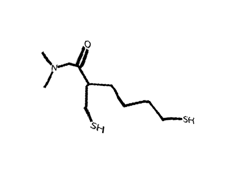 CN(C)C(=O)C(CS)CCCCS